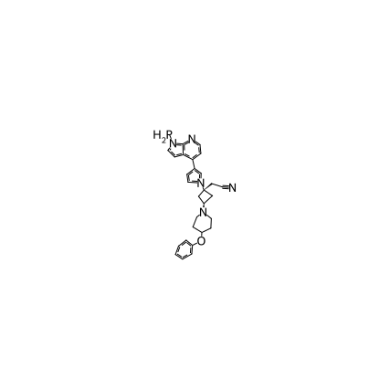 N#CC[C@]1(n2ccc(-c3ccnc4c3ccn4P)c2)C[C@H](N2CCC(Oc3ccccc3)CC2)C1